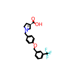 O=C(O)[C@@H]1CCN(Cc2ccc(OCc3cccc(C(F)(F)F)c3)cc2)C1